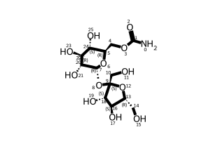 NC(=O)OC[C@H]1O[C@H](O[C@]2(CO)O[C@H](CO)[C@@H](O)[C@@H]2O)[C@H](O)[C@@H](O)[C@@H]1O